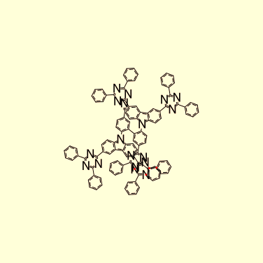 N#Cc1ccc(-n2c3ccc(-c4nc(-c5ccccc5)nc(-c5ccccc5)n4)cc3c3cc(-c4nc(-c5ccccc5)nc(-c5ccccc5)n4)ccc32)c(-c2cc(-c3nc(-c4ccccc4)nc(-c4ccccc4)n3)ccc2-n2c3ccc(-c4nc(-c5ccccc5)nc(-c5ccccc5)n4)cc3c3cc(-c4nc(-c5ccccc5)nc(-c5ccccc5)n4)ccc32)c1